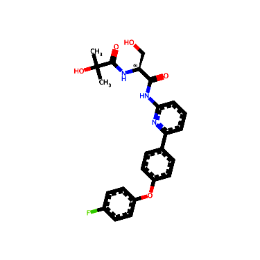 CC(C)(O)C(=O)N[C@@H](CO)C(=O)Nc1cccc(-c2ccc(Oc3ccc(F)cc3)cc2)n1